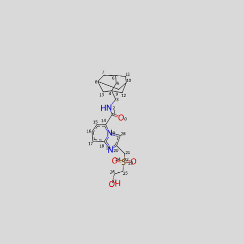 O=C(NCC12CC3CC(CC(C3)C1)C2)c1cccc2nc(CS(=O)(=O)CCO)cn12